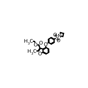 CCOC(=O)c1c(C)oc2cccc(Oc3ccc(S(=O)(=O)N4CCC4)cc3)c12